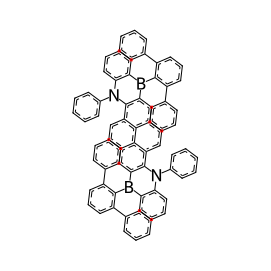 c1ccc(-c2cccc(-c3ccccc3)c2B2c3ccccc3N(c3ccccc3)c3c2cc2ccc4c5c(cc6ccc3c2c64)B(c2c(-c3ccccc3)cccc2-c2ccccc2)c2ccccc2N5c2ccccc2)cc1